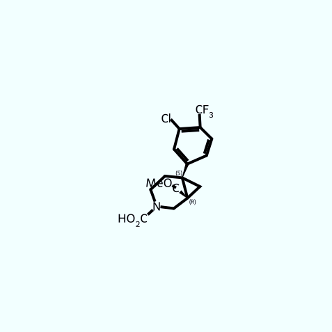 COC[C@@]12CN(C(=O)O)CC[C@]1(c1ccc(C(F)(F)F)c(Cl)c1)C2